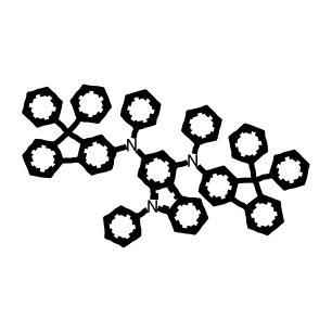 c1ccc(N(c2ccc3c(c2)C(c2ccccc2)(c2ccccc2)c2ccccc2-3)c2cc(N(c3ccccc3)c3ccc4c(c3)C(c3ccccc3)(c3ccccc3)c3ccccc3-4)c3c4ccccc4n(-c4ccccc4)c3c2)cc1